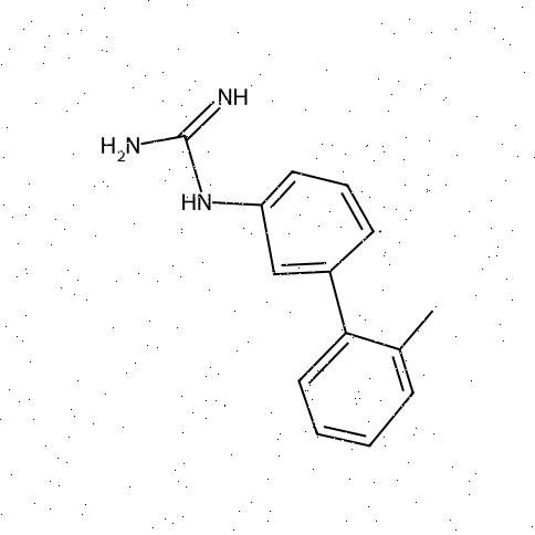 Cc1ccccc1-c1[c]ccc(NC(=N)N)c1